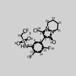 O=c1c(-c2cc(NS(=O)(=O)CC(F)(F)F)c(F)cc2F)c(Cl)n2n1CCCC2